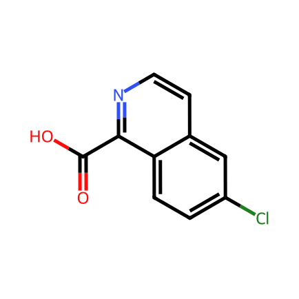 O=C(O)c1nccc2cc(Cl)ccc12